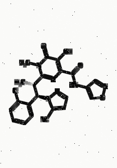 C[C@H](c1nc(C(=O)Nc2cnoc2)c(O)c(=O)n1C)[C@H](c1ccccc1Cl)n1nccc1C#N